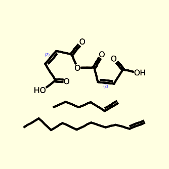 C=CCCCC.C=CCCCCCCCC.O=C(O)/C=C\C(=O)OC(=O)/C=C\C(=O)O